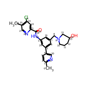 Cc1ccc(-c2cc(CN3CCC[C@H](O)C3)cc(NC(=O)c3cc(Cl)c(C)cn3)c2)cn1